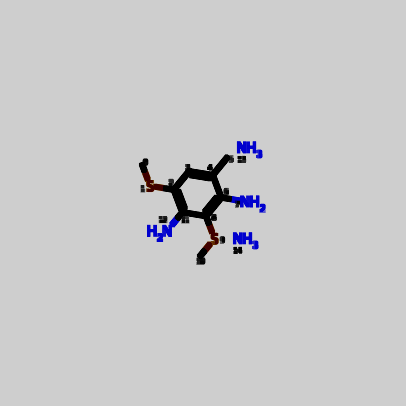 CSc1cc(C)c(N)c(SC)c1N.N.N